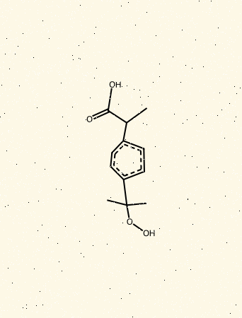 CC(C(=O)O)c1ccc(C(C)(C)OO)cc1